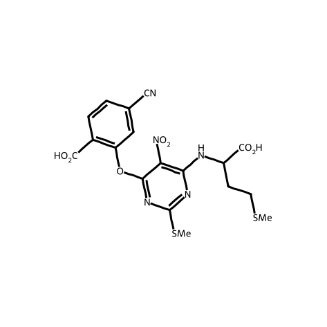 CSCCC(Nc1nc(SC)nc(Oc2cc(C#N)ccc2C(=O)O)c1[N+](=O)[O-])C(=O)O